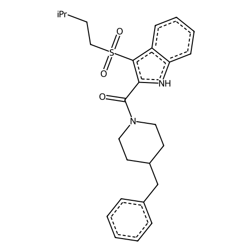 CC(C)CCS(=O)(=O)c1c(C(=O)N2CCC(Cc3ccccc3)CC2)[nH]c2ccccc12